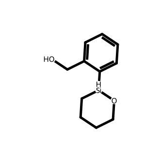 OCc1ccccc1[SiH]1CCCCO1